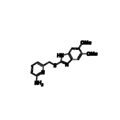 COc1cc2nc(SCc3cccc(N)n3)[nH]c2cc1OC